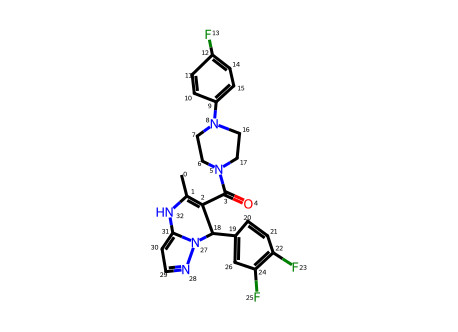 CC1=C(C(=O)N2CCN(c3ccc(F)cc3)CC2)C(c2ccc(F)c(F)c2)n2nccc2N1